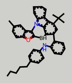 CCCCCc1ccc(Nc2ccccc2-c2cc(C(C)(C)C)c3c4ccccc4n4c3c2Bc2oc3ccc(C)cc3c2-4)cc1